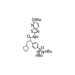 CCCCN(CCCC)S(=O)(=O)c1ccc(C(CC2CCCC2)C(=O)Nc2nc3ccc(OC)nc3s2)cc1